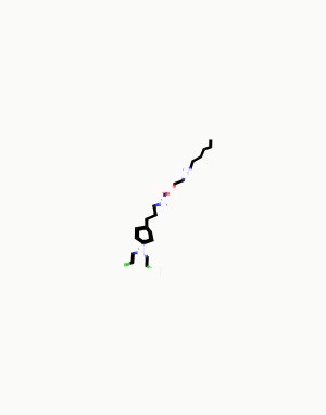 CCCCCCNCCOC(=O)NCCCc1ccc(N(CCCl)CCCl)cc1